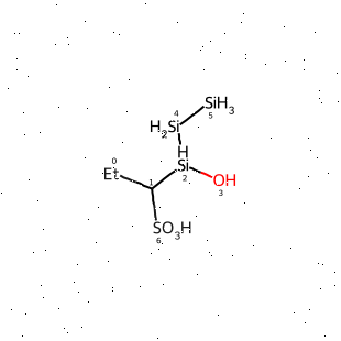 CCC([SiH](O)[SiH2][SiH3])S(=O)(=O)O